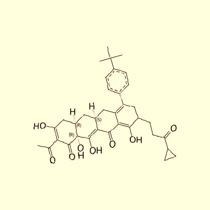 CC(=O)C1=C(O)C[C@H]2C[C@H]3CC4=C(c5ccc(C(C)(C)C)cc5)CC(CCC(=O)C5CC5)C(O)=C4C(=O)C3=C(O)[C@@]2(O)C1=O